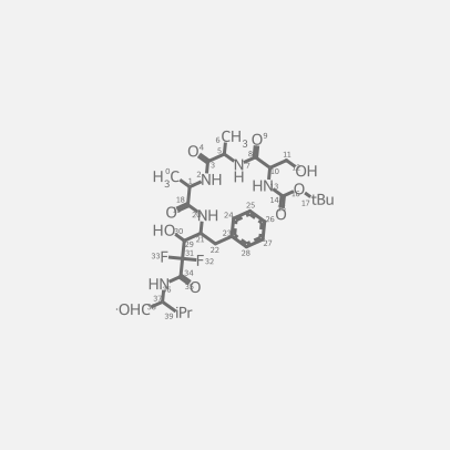 CC(NC(=O)C(C)NC(=O)C(CO)NC(=O)OC(C)(C)C)C(=O)NC(Cc1ccccc1)C(O)C(F)(F)C(=O)NC([C]=O)C(C)C